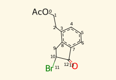 CC(=O)OCCc1cccc2c1CC(Br)C2=O